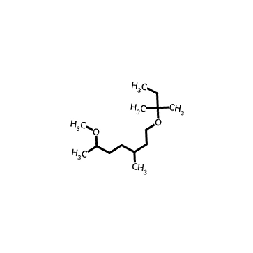 CCC(C)(C)OCCC(C)CCC(C)OC